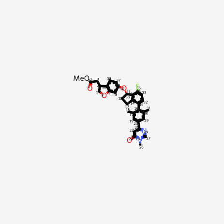 COC(=O)CC1COc2cc(O[C@@H]3CCc4c(-c5c(C)cc(-c6cc(=O)n(C)cn6)cc5C)ccc(F)c43)ccc21